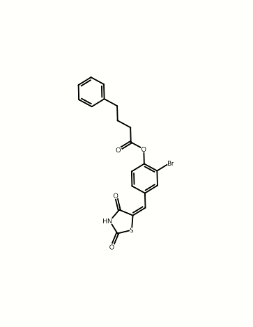 O=C(CCCc1ccccc1)Oc1ccc(C=C2SC(=O)NC2=O)cc1Br